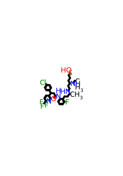 CCNC(CCCSO)CCNC(C)CCc1c(F)cccc1NC(=O)CC(c1ccc(Cl)cc1)c1ccc(C(F)(F)F)nc1